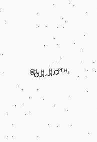 COc1ccc(CNCCCNCc2ccc(OC)cc2)cc1